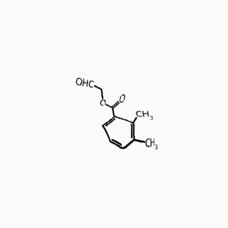 Cc1cccc(C(=O)OCC=O)c1C